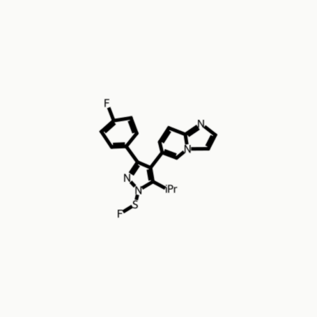 CC(C)c1c(-c2ccc3nccn3c2)c(-c2ccc(F)cc2)nn1SF